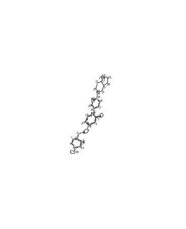 O=c1cc(OCc2ccc(Cl)cn2)ccn1-c1ccc(N2CCC3NCCC3C2)nc1